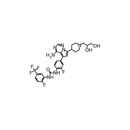 Nc1ncnn2c(C3CCN(CC(O)CO)CC3)cc(-c3ccc(NC(=O)Nc4cc(C(F)(F)F)ccc4F)c(F)c3)c12